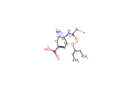 CCC(CC)O[C@@H]1C=C(C(=O)O)C[C@H](N)[C@H]1NC(=O)CF